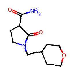 NC(=O)[C@@H]1CCN(CC2CCOCC2)C1=O